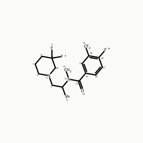 CC(C)C(CN1CCCC(F)(F)C1)N(C)C(=O)c1ccc(F)c(C(F)(F)F)c1